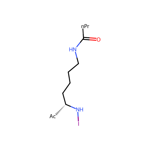 CCCC(=O)NCCCC[C@H](NI)C(C)=O